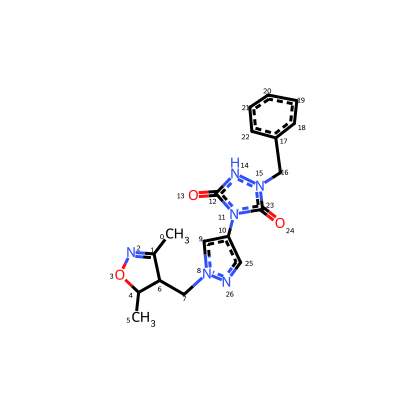 CC1=NOC(C)C1Cn1cc(-n2c(=O)[nH]n(Cc3ccccc3)c2=O)cn1